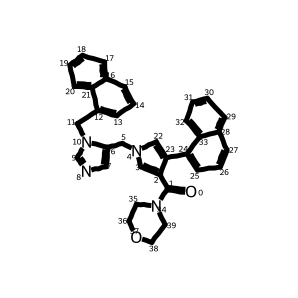 O=C(c1cn(Cc2cncn2Cc2cccc3ccccc23)cc1-c1cccc2ccccc12)N1CCOCC1